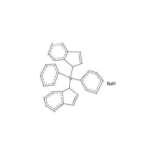 C1=CC([Si](c2ccccc2)(c2ccccc2)C2C=Cc3ccccc32)c2ccccc21.[NaH]